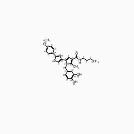 CCCCNC(=O)c1cc(-c2csc(-c3ccc(OC)cc3)n2)n(Cc2ccc(O)c(O)c2)c1C